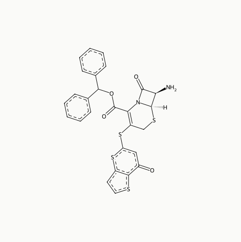 N[C@@H]1C(=O)N2C(C(=O)OC(c3ccccc3)c3ccccc3)=C(Sc3cc(=O)c4sccc4s3)CS[C@H]12